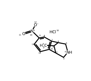 CC1C2CNCC1c1cc([N+](=O)[O-])ccc12.Cl